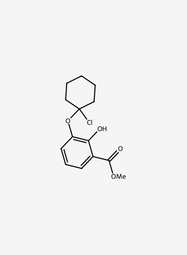 COC(=O)c1cccc(OC2(Cl)CCCCC2)c1O